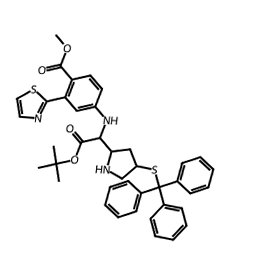 COC(=O)c1ccc(NC(C(=O)OC(C)(C)C)C2CC(SC(c3ccccc3)(c3ccccc3)c3ccccc3)CN2)cc1-c1nccs1